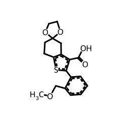 COCc1ccccc1-c1sc2c(c1C(=O)O)CC1(CC2)OCCO1